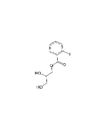 O=C(OCC(O)CO)c1ccccc1I